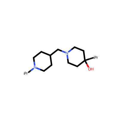 CC(C)N1CCC(CN2CCC(O)(C(C)C)CC2)CC1